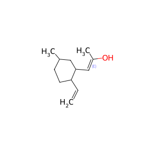 C=CC1CCC(C)CC1/C=C(\C)O